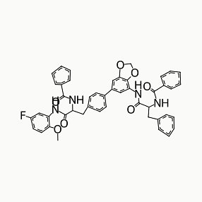 COc1ccc(F)cc1NC(=O)C(Cc1ccc(-c2cc(NC(=O)C(Cc3ccccc3)NC(=O)c3ccccc3)c3c(c2)OCO3)cc1)NC(=O)c1ccccc1